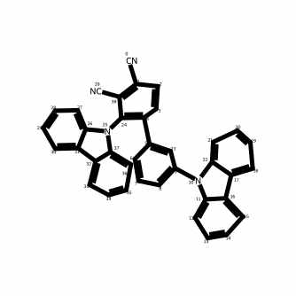 N#Cc1ccc(-c2cccc(-n3c4ccccc4c4ccccc43)c2)c(-n2c3ccccc3c3ccccc32)c1C#N